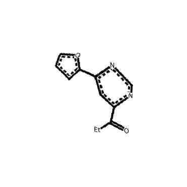 CCC(=O)c1cc(-c2ccco2)ncn1